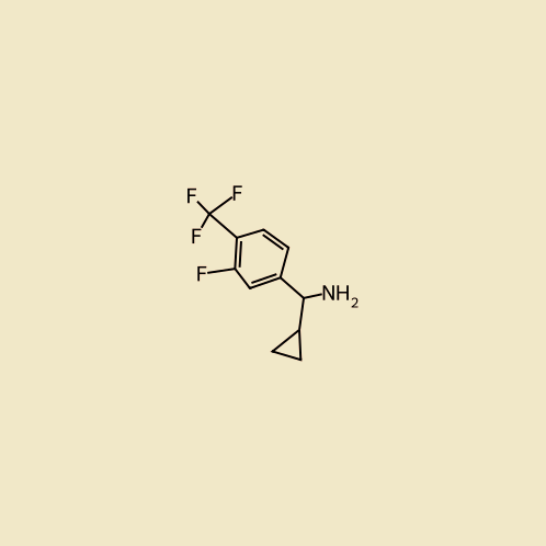 NC(c1ccc(C(F)(F)F)c(F)c1)C1CC1